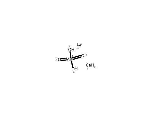 [CaH2].[La].[O]=[Mn](=[O])([OH])[OH]